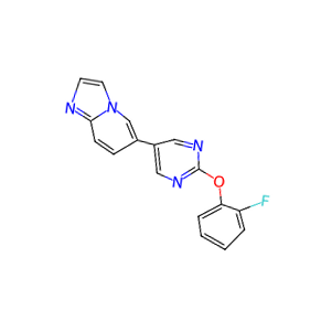 Fc1ccccc1Oc1ncc(-c2ccc3nccn3c2)cn1